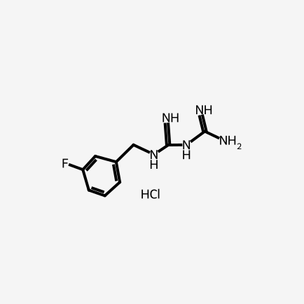 Cl.N=C(N)NC(=N)NCc1cccc(F)c1